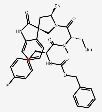 CN(C(=O)[C@H](Cc1ccc(F)cc1)NC(=O)OCc1ccccc1)[C@@H](CC(C)(C)C)C(=O)N1C[C@]2(C[C@H]1C#N)C(=O)Nc1ccccc12